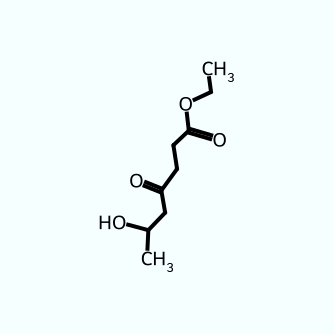 CCOC(=O)CCC(=O)CC(C)O